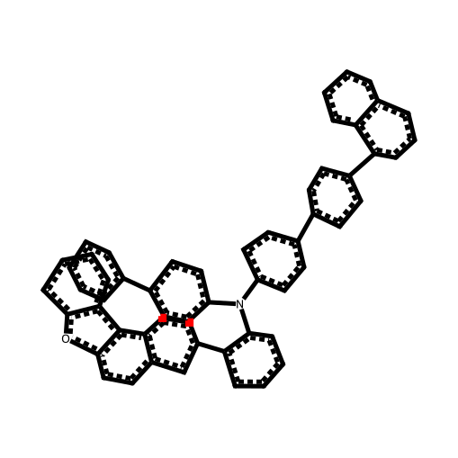 c1ccc(-c2ccc(N(c3ccc(-c4ccc(-c5cccc6ccccc56)cc4)cc3)c3ccccc3-c3ccc4c(ccc5oc6ccccc6c54)c3)cc2)cc1